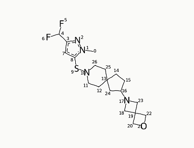 Cn1nc(C(F)F)cc1SN1CCC2(CCC(N3CC4(COC4)C3)C2)CC1